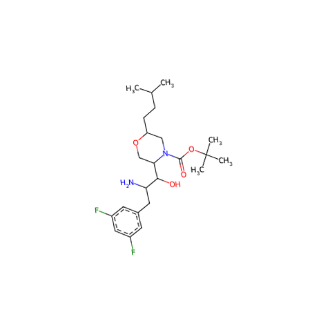 CC(C)CCC1CN(C(=O)OC(C)(C)C)C(C(O)C(N)Cc2cc(F)cc(F)c2)CO1